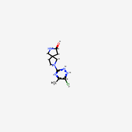 Cc1nc(N2CCC3(CNC(=O)C3)C2)nnc1Cl